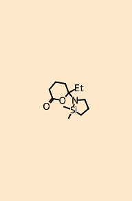 CCC1(N2CCC[Si]2(C)C)CCCC(=O)O1